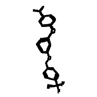 CC(C)c1ccc(Oc2cccc(OCc3ccc(C(F)(F)F)cc3)c2)cc1